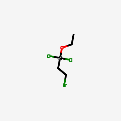 CCO[Si](Cl)(Cl)CCBr